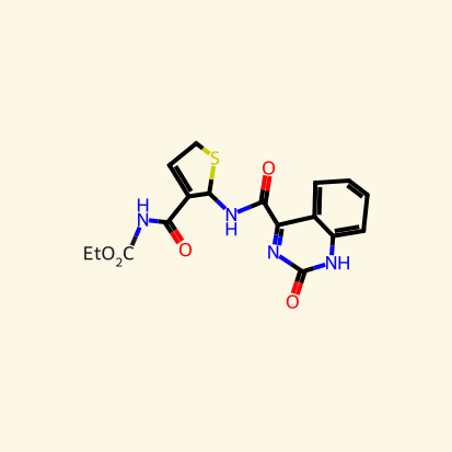 CCOC(=O)NC(=O)C1=CCSC1NC(=O)c1nc(=O)[nH]c2ccccc12